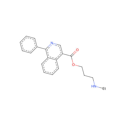 CCNCCCOC(=O)c1cnc(-c2ccccc2)c2ccccc12